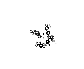 CC(=O)O.CC(=O)O.CC(=O)O.CN1CCN(C2CCC(n3nc(-c4ccc(Nc5nc6cc(C(N)=O)ccc6o5)cc4)c4c(N)ncnc43)CC2)CC1